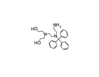 NCCN(CCN(CCO)CCO)C(c1ccccc1)(c1ccccc1)c1ccccc1